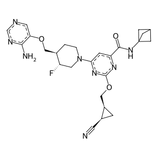 N#C[C@@H]1C[C@@H]1COc1nc(C(=O)NC23CC(C2)C3)cc(N2CC[C@H](COc3cncnc3N)[C@@H](F)C2)n1